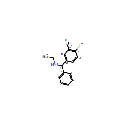 CCC(C)CNC(c1ccccc1)c1ccc(F)c(C)c1